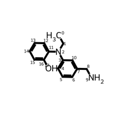 CCN(c1cccc(CN)c1)c1ccccc1O